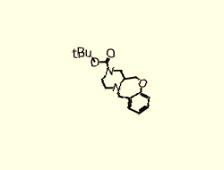 CC(C)(C)OC(=O)N1CCN2Cc3ccccc3OCC2C1